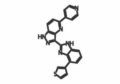 c1cc(-c2ccsc2)c2nc(-c3n[nH]c4ccc(-c5ccncc5)nc34)[nH]c2c1